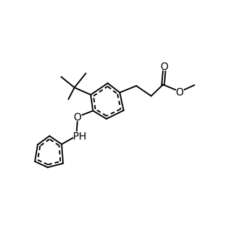 COC(=O)CCc1ccc(OPc2ccccc2)c(C(C)(C)C)c1